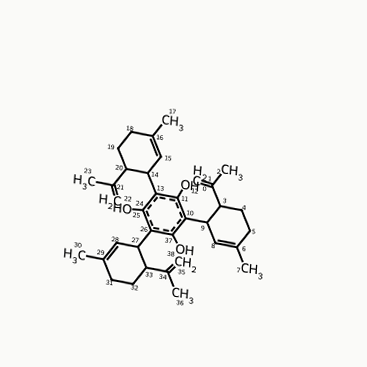 C=C(C)C1CCC(C)=CC1c1c(O)c(C2C=C(C)CCC2C(=C)C)c(O)c(C2C=C(C)CCC2C(=C)C)c1O